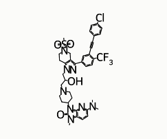 CN(C)c1ccc2c(n1)n(C1CCN(CC(O)Cn3nc(-c4ccc(C(F)(F)F)c(C#Cc5ccc(Cl)cc5)c4)c4c3CCN(S(C)(=O)=O)C4)CC1)c(=O)n2C